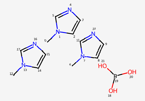 Cn1ccnc1.Cn1ccnc1.Cn1ccnc1.OB(O)O